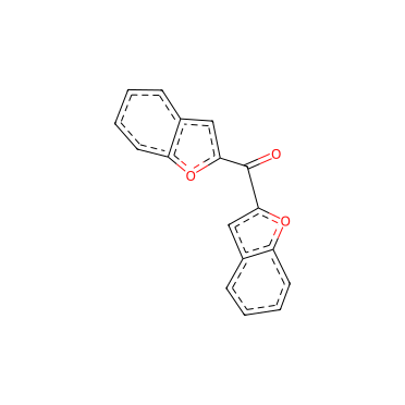 O=C(c1cc2ccccc2o1)c1cc2ccccc2o1